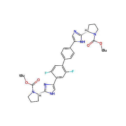 CC(C)(C)OC(=O)N1CCC[C@H]1c1nc(-c2cc(F)c(-c3ccc(-c4cnc([C@@H]5CCCN5C(=O)OC(C)(C)C)[nH]4)cc3)cc2F)c[nH]1